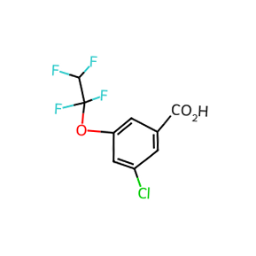 O=C(O)c1cc(Cl)cc(OC(F)(F)C(F)F)c1